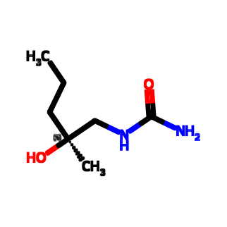 CCC[C@](C)(O)CNC(N)=O